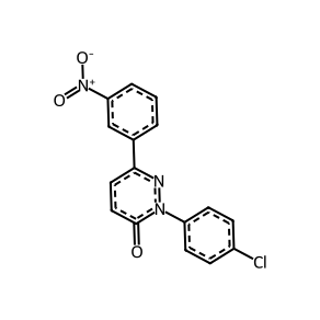 O=c1ccc(-c2cccc([N+](=O)[O-])c2)nn1-c1ccc(Cl)cc1